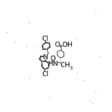 CC(NC(=O)c1cc(Cl)cc2ccn(Cc3ccc(Cl)cc3)c12)[C@H]1CC[C@H](C(=O)O)CC1